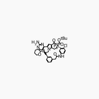 CC(C)(C)OC(=O)N1CCc2c(cc(-c3nc(N)ncc3C#Cc3cccc(CC(=O)Nc4ccc(Cl)c(C(F)(F)F)c4)c3)n2CCOC2CCCCO2)C1=O